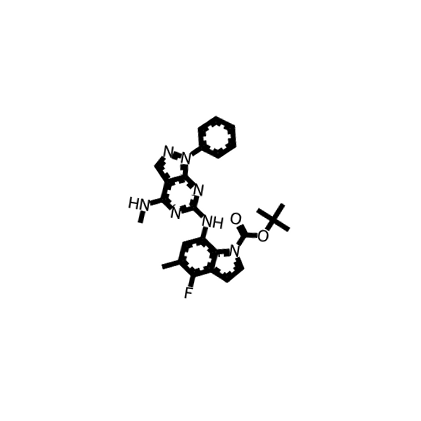 CNc1nc(Nc2cc(C)c(F)c3ccn(C(=O)OC(C)(C)C)c23)nc2c1cnn2-c1ccccc1